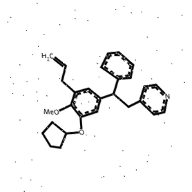 C=CCc1cc(C(Cc2ccncc2)c2ccccc2)cc(OC2CCCC2)c1OC